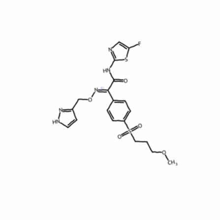 COCCCS(=O)(=O)c1ccc(/C(=N\OCc2cc[nH]n2)C(=O)Nc2ncc(F)s2)cc1